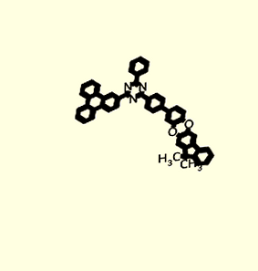 CC1(C)c2ccccc2-c2cc3c(cc21)Oc1cc(-c2ccc(-c4nc(-c5ccccc5)nc(-c5ccc6c7ccccc7c7ccccc7c6c5)n4)cc2)ccc1O3